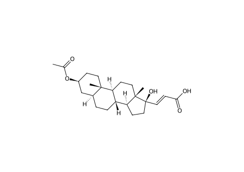 CC(=O)O[C@H]1CC[C@@]2(C)[C@@H](CC[C@@H]3[C@@H]2CC[C@@]2(C)[C@H]3CC[C@@]2(O)/C=C/C(=O)O)C1